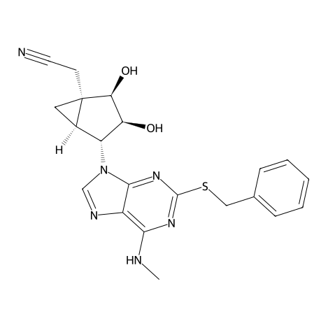 CNc1nc(SCc2ccccc2)nc2c1ncn2[C@H]1[C@H](O)[C@H](O)[C@]2(CC#N)C[C@H]12